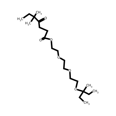 CCC(C)(CC)OCCOCCOCCOC(=O)CCC(=O)C(C)(C)CC